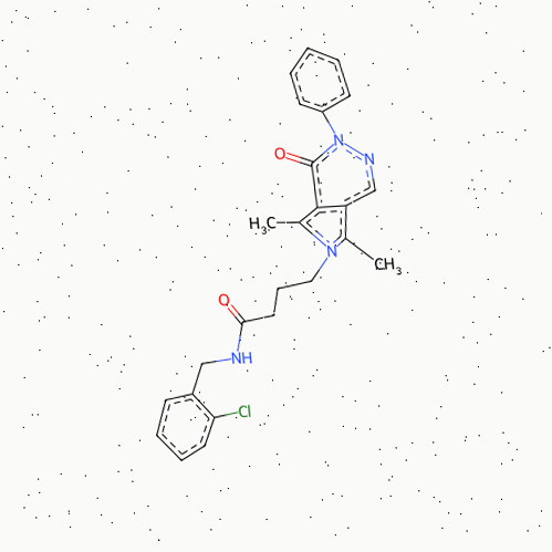 Cc1c2cnn(-c3ccccc3)c(=O)c2c(C)n1CCCC(=O)NCc1ccccc1Cl